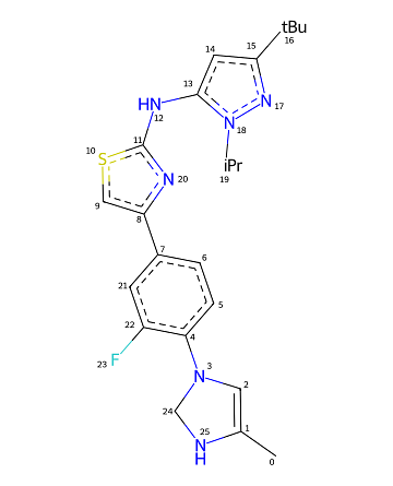 CC1=CN(c2ccc(-c3csc(Nc4cc(C(C)(C)C)nn4C(C)C)n3)cc2F)CN1